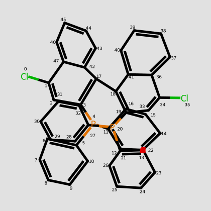 Clc1cc(P(c2ccccc2)c2ccccc2)c(-c2c(P(c3ccccc3)c3ccccc3)cc(Cl)c3ccccc23)c2ccccc12